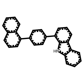 c1ccc2c(-c3ccc(-c4cccc5c4[nH]c4ccccc45)cc3)cccc2c1